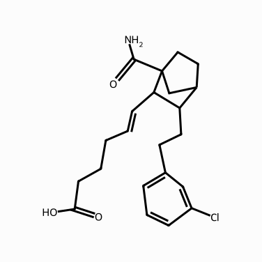 NC(=O)C12CCC(C1)C(CCc1cccc(Cl)c1)C2C=CCCCC(=O)O